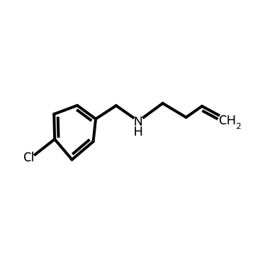 C=CCCNCc1ccc(Cl)cc1